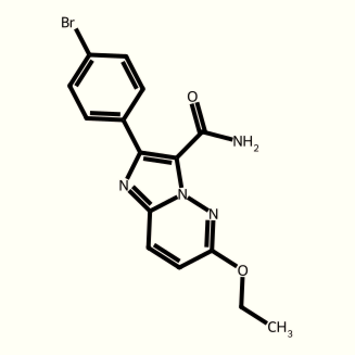 CCOc1ccc2nc(-c3ccc(Br)cc3)c(C(N)=O)n2n1